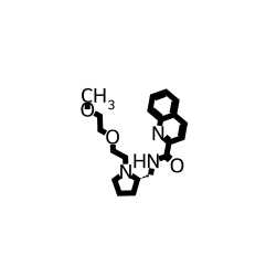 COCCOCCN1CCC[C@H]1CNC(=O)c1ccc2ccccc2n1